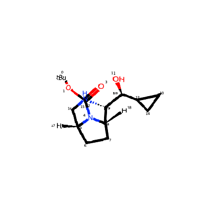 CC(C)(C)OC(=O)N1[C@@H]2CC[C@H]1[C@@H]([C@@H](O)C1CC1)NC2